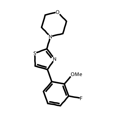 COc1c(F)cccc1-c1csc(N2CCOCC2)n1